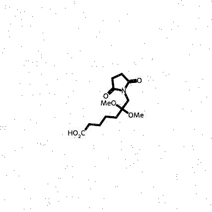 COC(CCCCC(=O)O)(CN1C(=O)CCC1=O)OC